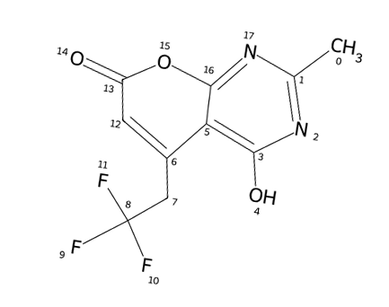 Cc1nc(O)c2c(CC(F)(F)F)cc(=O)oc2n1